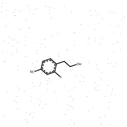 N#Cc1ccc(CCO)c(F)c1